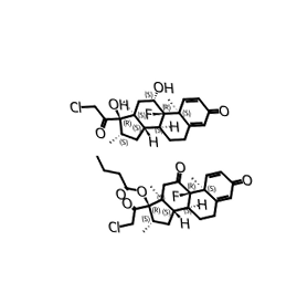 CCCC(=O)O[C@]1(C(=O)CCl)[C@@H](C)C[C@H]2[C@@H]3CCC4=CC(=O)C=C[C@]4(C)[C@@]3(F)C(=O)C[C@@]21C.C[C@H]1C[C@H]2[C@@H]3CCC4=CC(=O)C=C[C@]4(C)[C@@]3(F)[C@@H](O)C[C@]2(C)[C@@]1(O)C(=O)CCl